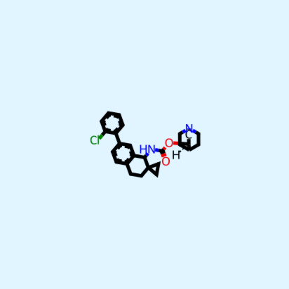 O=C(NC1c2cc(-c3ccccc3Cl)ccc2CCC12CC2)O[C@H]1CN2CCC1CC2